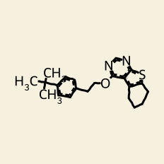 CC(C)(C)c1ccc(CCOc2ncnc3sc4c(c23)CCCC4)cc1